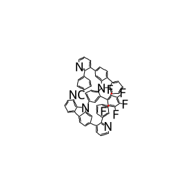 N#Cc1cc(-n2c3ccccc3c3ccc(-c4cccnc4-c4ccccc4)cc32)c(-c2c(F)c(F)c(F)c(F)c2F)cc1-n1c2ccccc2c2ccc(-c3cccnc3-c3ccccc3)cc21